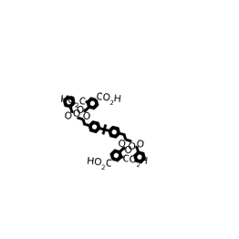 CC(C)(c1ccc(CC(COC(=O)c2ccccc2)OC(=O)c2ccc(C(=O)O)cc2C(=O)O)cc1)c1ccc(CC(COC(=O)c2ccccc2)OC(=O)c2ccc(C(=O)O)cc2C(=O)O)cc1